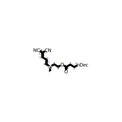 CCCCCCCCCCCCC(=O)OCCN(C)/C=C/C=C(C#N)C#N